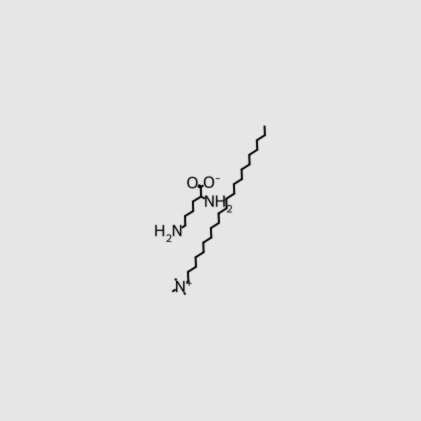 CCCCCCCCCCCCCCCCCCCCCC[N+](C)(C)C.NCCCCC(N)C(=O)[O-]